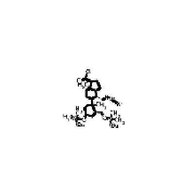 CC(C)(C)[Si](C)(C)OC[C@H]1CC(O[Si](C)(C)C(C)(C)C)CC[C@]1(C)C1CC[C@]2(C)C(=C(Cl)Cl)CCC2[C@@H]1CN=[N+]=[N-]